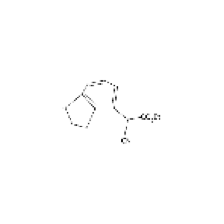 CCOC(=O)C(C#N)c1cccc2c1CC[CH]2